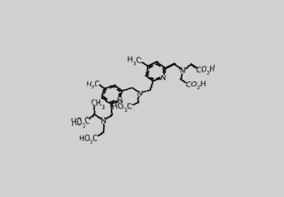 Cc1cc(CN(CC(=O)O)CC(=O)O)nc(CN(CC(=O)O)Cc2cc(C)cc(CN(CC(=O)O)C(C)C(=O)O)n2)c1